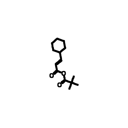 CC(C)(C)C(=O)OC(=O)/C=C/C1CCCCC1